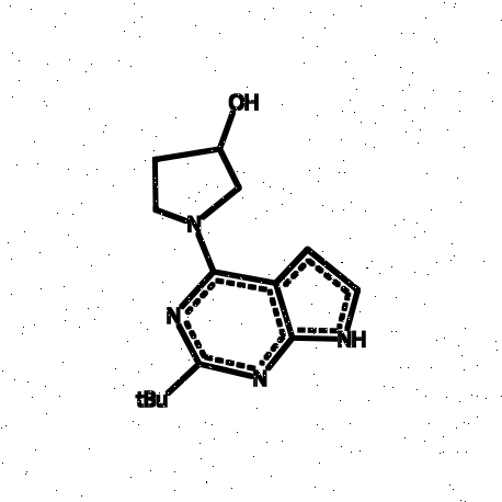 CC(C)(C)c1nc(N2CCC(O)C2)c2cc[nH]c2n1